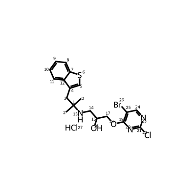 CC(C)(Cc1csc2ccccc12)NCC(O)COc1nc(Cl)ncc1Br.Cl